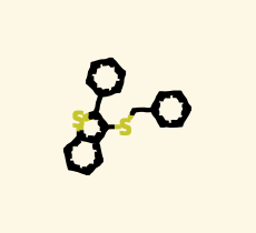 c1ccc(CSc2c(-c3ccccc3)sc3ccccc23)cc1